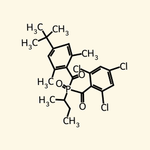 CCC(C)P(=O)(C(=O)c1c(C)cc(C(C)(C)C)cc1C)C(=O)c1c(Cl)cc(Cl)cc1Cl